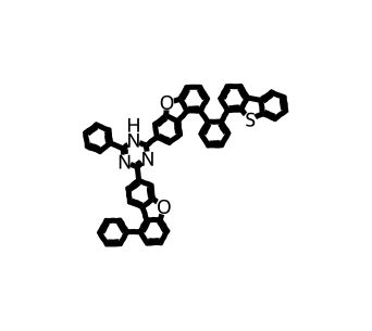 c1ccc(C2=NC(c3ccc4c(c3)oc3cccc(-c5ccccc5)c34)=NC(c3ccc4c(c3)oc3cccc(-c5ccccc5-c5cccc6c5sc5ccccc56)c34)N2)cc1